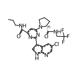 CCCNC(=O)c1cc(N2CCC[C@@H]2C(=O)NCC(F)(F)F)nc(-c2c[nH]c3ncc(Cl)cc23)n1